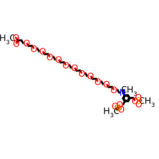 COC(=O)CCOCCOCCOCCOCCOCCOCCOCCOCCOCCOCCOCCOCCN(C)c1cc(COS(C)(=O)=O)cc(COS(C)(=O)=O)c1